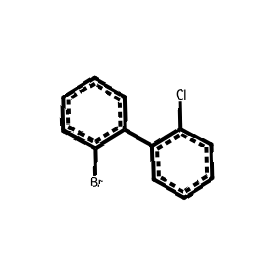 Clc1ccccc1-c1ccccc1Br